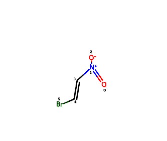 O=[N+]([O-])C=[C]Br